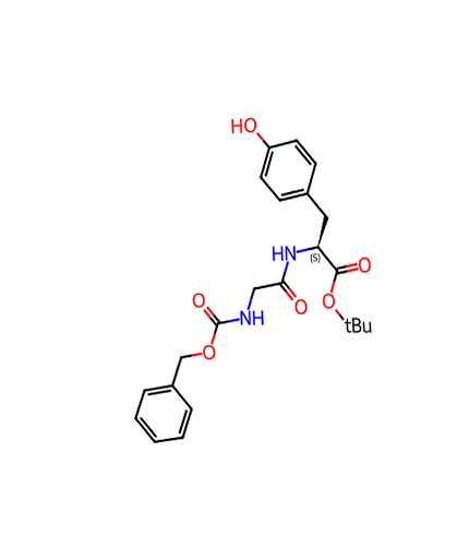 CC(C)(C)OC(=O)[C@H](Cc1ccc(O)cc1)NC(=O)CNC(=O)OCc1ccccc1